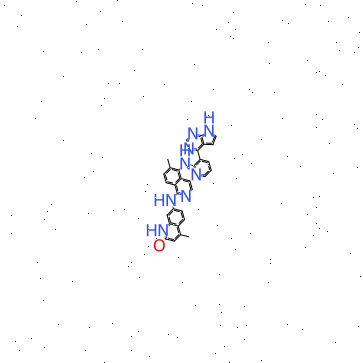 Cc1ccc2c(Nc3ccc4c(C)cc(=O)[nH]c4c3)nccc2c1Nc1ncccc1-c1ncnc2[nH]ccc12